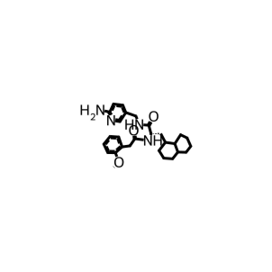 COc1ccccc1CC(=O)N[C@@H](CC1CCCC2CCCCC21)C(=O)NCc1ccc(N)nc1